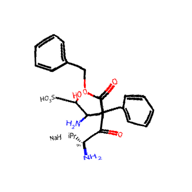 CC(C)[C@@H](N)C(=O)C(C(=O)OCc1ccccc1)(c1ccccc1)C(N)C(O)S(=O)(=O)O.[NaH]